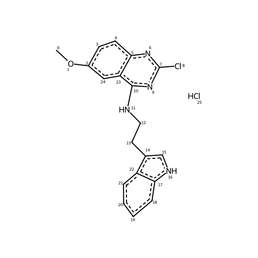 COc1ccc2nc(Cl)nc(NCCc3c[nH]c4ccccc34)c2c1.Cl